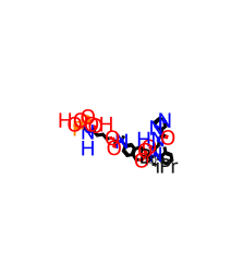 Cc1ccccc1N(C(=O)CNC(=O)c1cnccn1)[C@H](CC(C)C)B1OCc2ccc(N(C)C(=O)OCCCC(=O)NC(P=O)P(=O)(O)O)cc2CO1